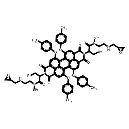 CCCN(CCNCC1CO1)C(=O)C(CC(C)C)N1C(=O)c2cc(Oc3ccc(C)cc3)c3c4c(Oc5ccc(C)cc5)cc5c6c(cc(Oc7ccc(C)cc7)c(c7c(Oc8ccc(C)cc8)cc(c2c37)C1=O)c64)C(=O)N(C(CC(C)C)C(=O)N(CCC)CCNCC1CO1)C5=O